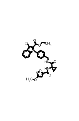 CCOC(=O)c1c(Cl)c2ccccc2n1-c1ccc(CNC(=O)C2(NC(=O)c3cc(OC)no3)CC2)cc1